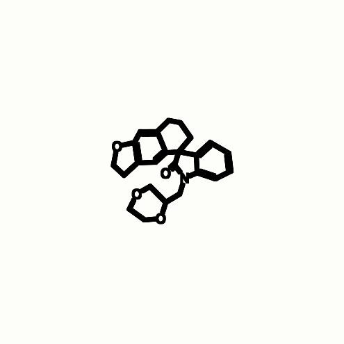 O=C1N(CC2COCCO2)c2ccccc2C12CCCc1cc3c(cc12)CCO3